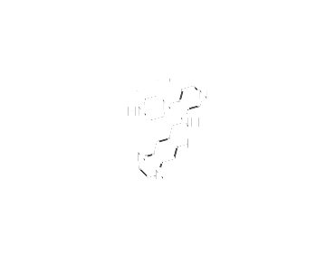 C[C@H]1CN(c2c(NCc3cc4nccnc4cc3F)cncc2C(F)(F)F)CCN1